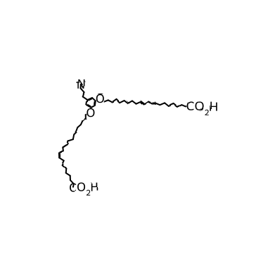 CN(C)CCCc1cc(OCCCCCCCCCC=CCC=CCCCCCCCC(=O)O)cc(OCCCCCCCCCC=CC/C=C\CCCCCCCC(=O)O)c1